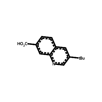 CC(C)(C)c1cnc2cc(C(=O)O)ccc2c1